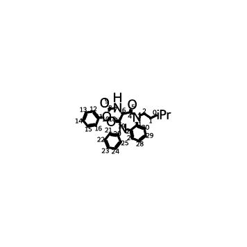 CC(C)CCN1C(=O)C(NC(=O)Oc2ccccc2)C(=O)N(c2ccccc2)c2ccccc21